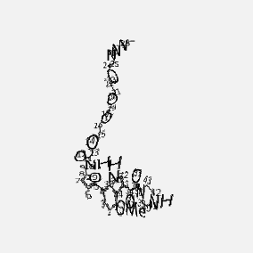 COc1ccc(-c2ccc(CNC(=O)COCCOCCOCCOCCN=[N+]=[N-])o2)c2[nH]cc(C(=O)C(=O)N3CCNCC3)c12